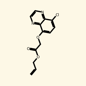 C=CCOC(=O)COc1ccc(Cl)c2nccnc12